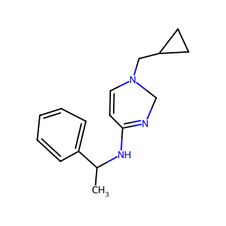 CC(NC1=NCN(CC2CC2)C=C1)c1ccccc1